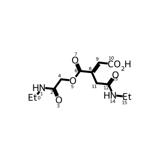 CCNC(=O)COC(=O)C(=CC(=O)O)CC(=O)NCC